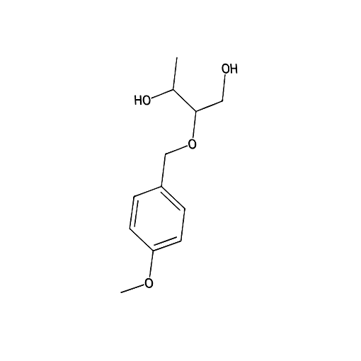 COc1ccc(COC(CO)C(C)O)cc1